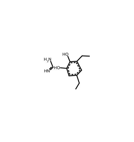 CCc1cc(O)c(O)c(CC)c1.N=CN